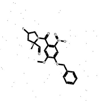 COc1cc(C(=O)N2CC(F)C[C@@]2(C)C=O)c([N+](=O)[O-])cc1OCc1ccccc1